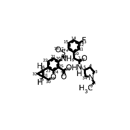 CCN1CC[C@@H](NC(=O)Cc2cc(F)ccc2[S+]([O-])Nc2ccc3c(c2C(=O)O)OC[C@@H]2C[C@H]32)C1